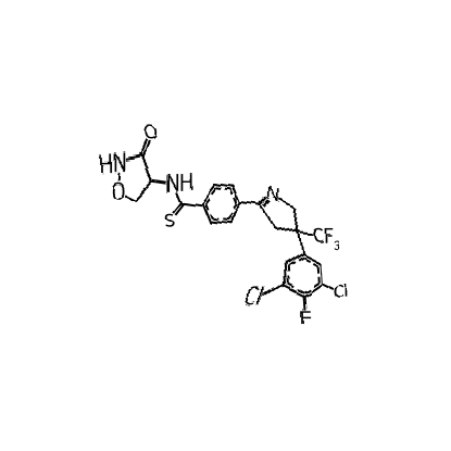 O=C1NOCC1NC(=S)c1ccc(C2=NCC(c3cc(Cl)c(F)c(Cl)c3)(C(F)(F)F)C2)cc1